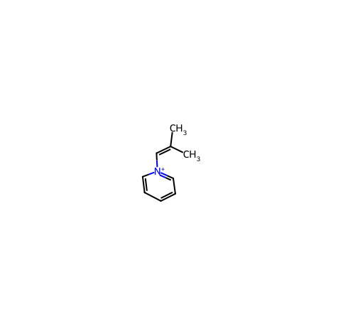 CC(C)=C[n+]1ccccc1